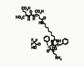 NCCNC(=O)[C@H](Cc1ccccc1)NC(=O)[C@H](Cc1ccccc1)NC(=O)CCCCCCCNC(=O)CC[C@H](NC(=O)N[C@@H](CCC(=O)O)C(=O)O)C(=O)O.O=C(O)C(F)(F)F